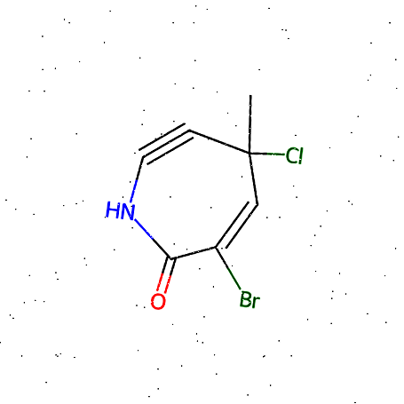 CC1(Cl)C#CNC(=O)C(Br)=C1